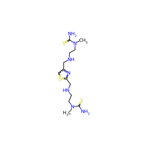 CN(CCNCc1csc(CNCCN(C)C(N)=S)n1)C(N)=S